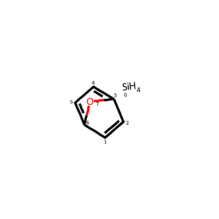 [SiH4].c1cc2ccc1o2